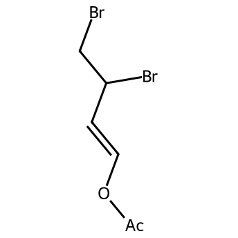 CC(=O)OC=CC(Br)CBr